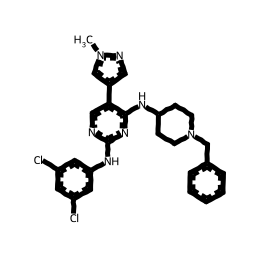 Cn1cc(-c2cnc(Nc3cc(Cl)cc(Cl)c3)nc2NC2CCN(Cc3ccccc3)CC2)cn1